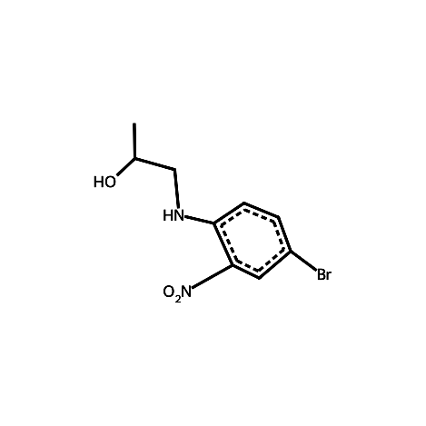 CC(O)CNc1ccc(Br)cc1[N+](=O)[O-]